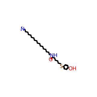 CN(C)CCCCCCCCCCCCCCCCCCNC(=O)CCCCCSc1ccc(O)cc1